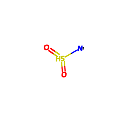 [N][SH](=O)=O